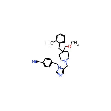 COCC1(Cc2ccccc2C)CCN(Cc2cncn2Cc2ccc(C#N)cc2)CC1